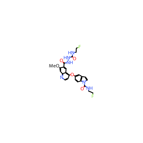 COc1cc2nccc(Oc3ccc4c(ccn4C(=O)NCCF)c3)c2cc1C(=O)NNC(=O)NCCF